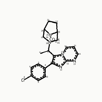 CC(c1c(-c2ccc(Cl)cc2)nc2ncccn12)N1CC2CCC(C1)N2C(=O)O